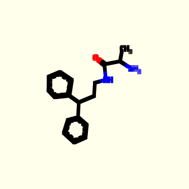 CC(N)C(=O)NCCC(c1ccccc1)c1ccccc1